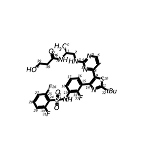 C[C@@H](CNc1nccc(-c2sc(C(C)(C)C)nc2-c2cccc(NS(=O)(=O)c3c(F)cccc3F)c2F)n1)NC(=O)CCO